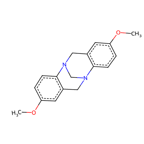 COc1ccc2c(c1)CN1CN2Cc2cc(OC)ccc21